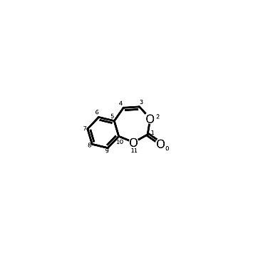 O=C1OC=Cc2ccccc2O1